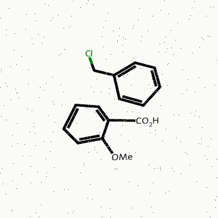 COc1ccccc1C(=O)O.ClCc1ccccc1